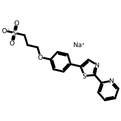 O=S(=O)([O-])CCCOc1ccc(-c2cnc(-c3ccccn3)s2)cc1.[Na+]